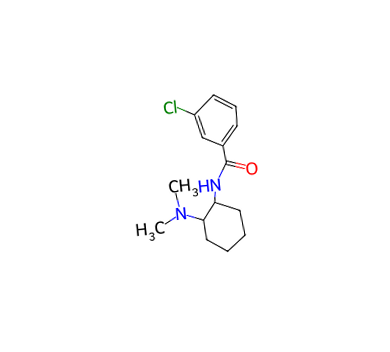 CN(C)C1CCCCC1NC(=O)c1cccc(Cl)c1